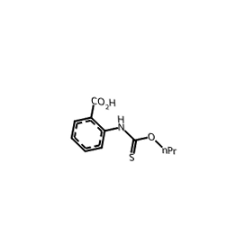 CCCOC(=S)Nc1ccccc1C(=O)O